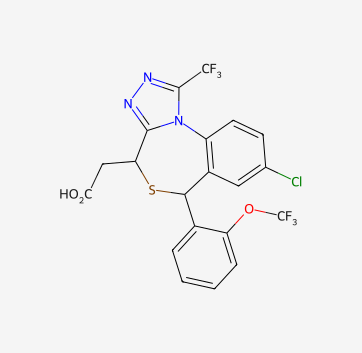 O=C(O)CC1SC(c2ccccc2OC(F)(F)F)c2cc(Cl)ccc2-n2c1nnc2C(F)(F)F